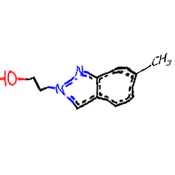 Cc1ccc2cn(CCO)nc2c1